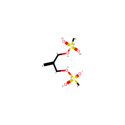 C=C(COS(C)(=O)=O)COS(C)(=O)=O